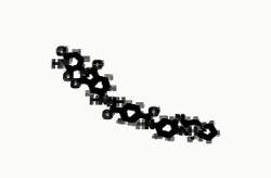 C[C@H]1CCCN1Cc1nc2cc(NC(=O)c3ccc(C(=O)NNc4ccc5c(c4)C(=O)N(C4CCC(=O)NC4=O)C5=O)cc3)ccc2[nH]1